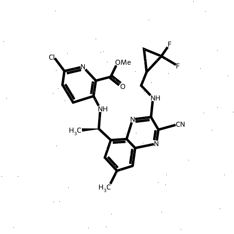 COC(=O)c1nc(Cl)ccc1N[C@H](C)c1cc(C)cc2nc(C#N)c(NCC3CC3(F)F)nc12